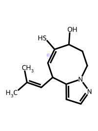 CC(C)=CC1/C=C(/S)C(O)CCn2nccc21